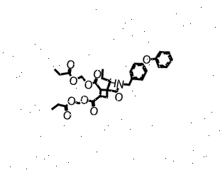 CCCC1(C(=O)NCc2ccc(Oc3ccccc3)cc2)CC(C(=O)OCOC(=O)CC)C1C(=O)OCOC(=O)CC